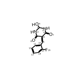 O=C1NC(O)NC(=O)C1=Cc1ccccc1F